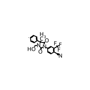 CC1(c2cc[c]cc2)C(=O)N(c2ccc(C#N)c(C(F)(F)F)c2)C(=O)N1CO